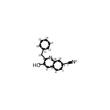 N#Cc1ccc2cc(O)c(Cc3ccccc3)nc2c1